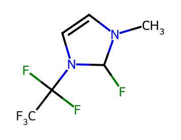 CN1C=CN(C(F)(F)C(F)(F)F)C1F